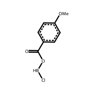 COc1ccc(C(=O)OBCl)cc1